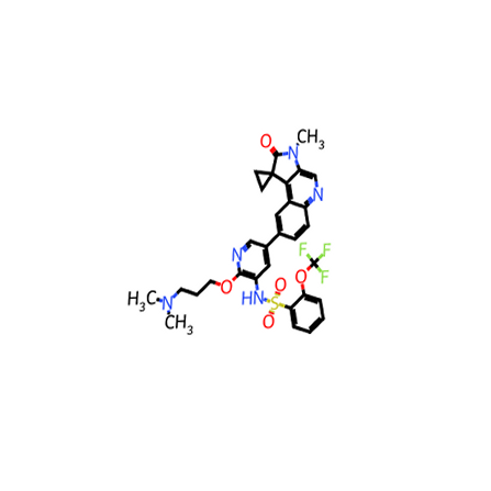 CN(C)CCCOc1ncc(-c2ccc3ncc4c(c3c2)C2(CC2)C(=O)N4C)cc1NS(=O)(=O)c1ccccc1OC(F)(F)F